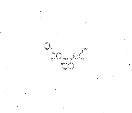 COCCN(C)C[C@H](C)Oc1cccc2ncnc(Nc3ccc(OCc4ccccn4)c(Cl)c3)c12